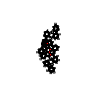 c1ccc(-c2ccccc2N(c2ccc3c4c(c5ccccc5c3c2)-c2cc(N(c3ccccc3-c3ccccc3)c3cccc5c3oc3ccccc35)c3ccccc3c2C42c3ccccc3-c3ccccc32)c2cccc3c2oc2ccccc23)cc1